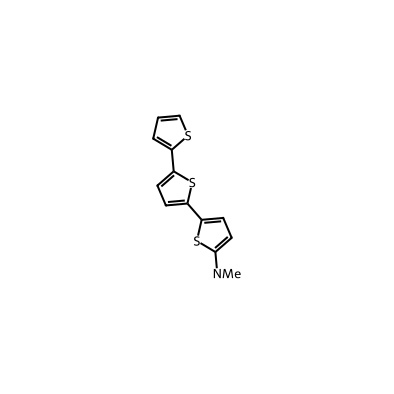 CNc1ccc(-c2ccc(-c3cccs3)s2)s1